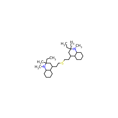 CCC1(C)CC(CCSCCC2CC(C)(CC)N(C)C3CCCCC23)C2CCCCC2N1C